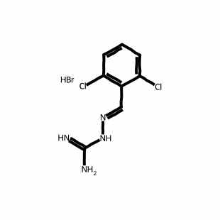 Br.N=C(N)NN=Cc1c(Cl)cccc1Cl